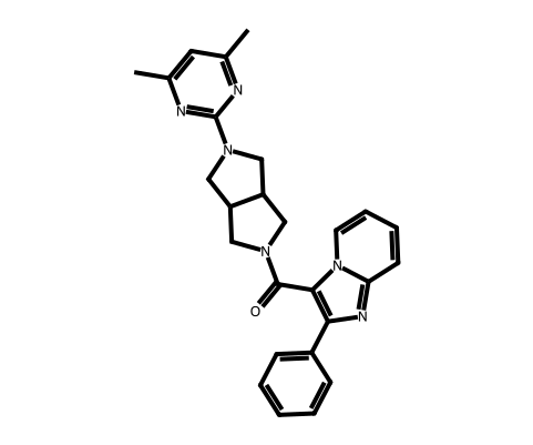 Cc1cc(C)nc(N2CC3CN(C(=O)c4c(-c5ccccc5)nc5ccccn45)CC3C2)n1